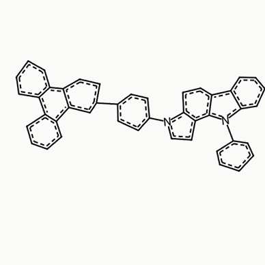 c1ccc(-n2c3ccccc3c3ccc4c(ccn4-c4ccc(-c5ccc6c7ccccc7c7ccccc7c6c5)cc4)c32)cc1